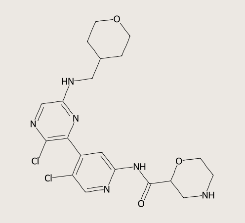 O=C(Nc1cc(-c2nc(NCC3CCOCC3)cnc2Cl)c(Cl)cn1)C1CNCCO1